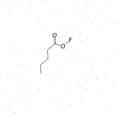 CCCCC(=O)OF